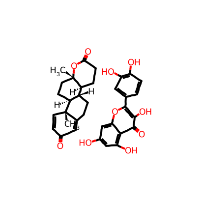 C[C@]12C=CC(=O)C=C1CC[C@@H]1[C@@H]2CC[C@]2(C)OC(=O)CC[C@@H]12.O=c1c(O)c(-c2ccc(O)c(O)c2)oc2cc(O)cc(O)c12